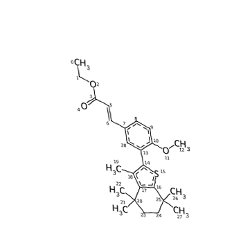 CCOC(=O)/C=C/c1ccc(OC)c(-c2sc3c(c2C)C(C)(C)CCC3(C)C)c1